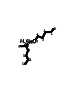 CCCCCO[SiH2]C(C)CCCC